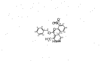 CC1=C(C(=O)OCc2ccccc2)C(c2cccc([N+](=O)[O-])c2)C=NN1